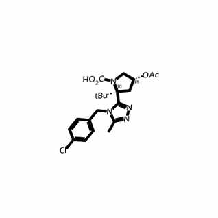 CC(=O)O[C@H]1CN(C(=O)O)[C@@](c2nnc(C)n2Cc2ccc(Cl)cc2)(C(C)(C)C)C1